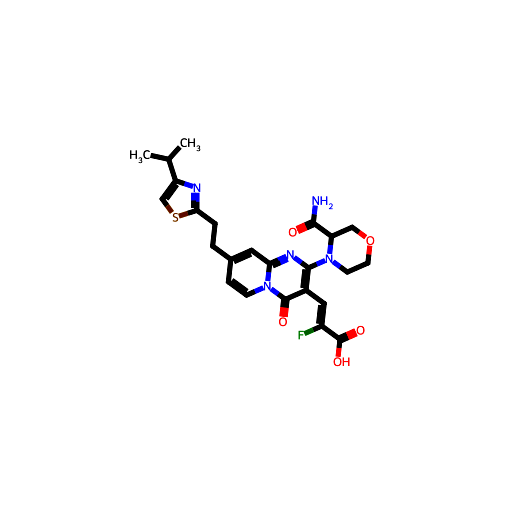 CC(C)c1csc(CCc2ccn3c(=O)c(C=C(F)C(=O)O)c(N4CCOCC4C(N)=O)nc3c2)n1